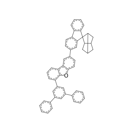 c1ccc(-c2cc(-c3ccccc3)cc(-c3cccc4c3oc3ccc(-c5ccc6c(c5)C5(c7ccccc7-6)C6CC7CC6CC75)cc34)c2)cc1